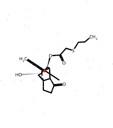 C=C1C[C@@H](OC(=O)CSCCC)C2CCCC3(CCC(=O)C23)C[C@H]1O